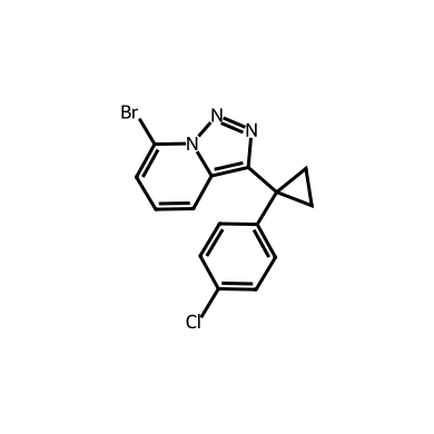 Clc1ccc(C2(c3nnn4c(Br)cccc34)CC2)cc1